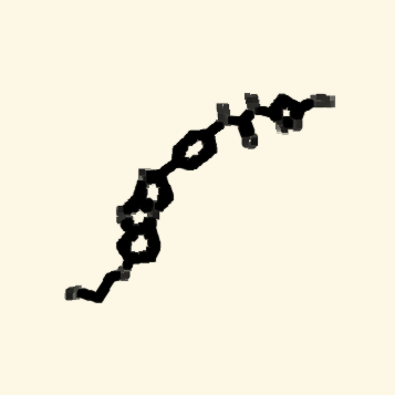 CC(C)(C)c1cc(NC(=O)Nc2ccc(-c3cn4c(n3)sc3cc(OCCCl)ccc34)cc2)no1